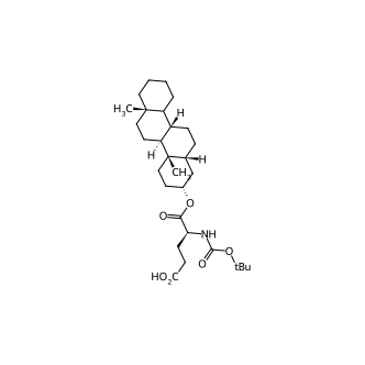 CC(C)(C)OC(=O)N[C@@H](CCC(=O)O)C(=O)O[C@@H]1CC[C@@]2(C)[C@H](CC[C@H]3C4CCCC[C@@]4(C)CC[C@@H]32)C1